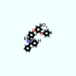 CCC(N=C(c1ccccc1)c1ccccc1)(C(=O)O)c1ccc(Oc2cc(Oc3ccc(F)cc3)cc([N+](=O)[O-])c2)cc1